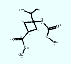 CC(O)C1(NC(=O)OC(C)(C)C)CC(C(=O)OC(C)(C)C)C1